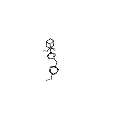 COc1ccc(Cn2ccc(N3CC4CC(C3)N4C(=O)O)n2)cc1